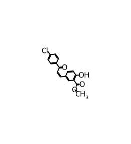 COC(=O)c1cc(/C=C\C(=O)c2ccc(Cl)cc2)ccc1O